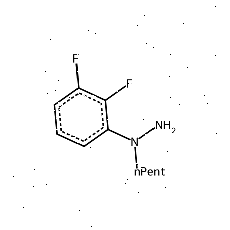 CCCCCN(N)c1cccc(F)c1F